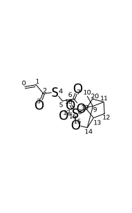 C=CC(=O)SCC(=O)OC1(C)C2CC3C1OS(=O)(=O)C3C2